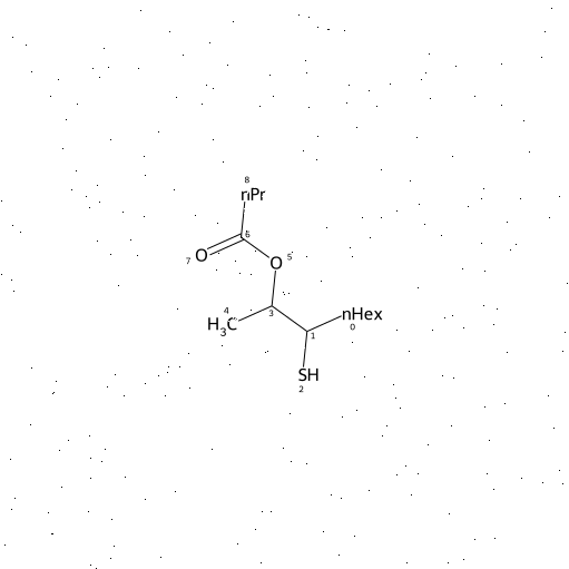 CCCCCCC(S)C(C)OC(=O)CCC